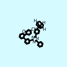 N#Cc1ccc2c(c1)oc1cccc(-c3cccc(-c4nc(-c5ccccc5)nc(-c5ccc(C67C[C@H]8C[C@@H](C6)C[C@@H](C7)C8)cc5)n4)c3)c12